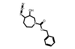 [N-]=[N+]=NC1CCCN(C(=O)OCc2ccccc2)CC1O